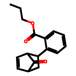 CCCOC(=O)c1ccccc1C1CC2C=CC1C2=O